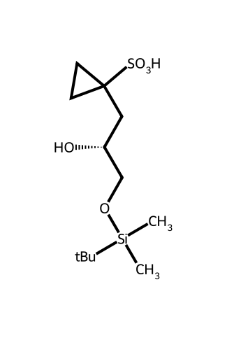 CC(C)(C)[Si](C)(C)OC[C@H](O)CC1(S(=O)(=O)O)CC1